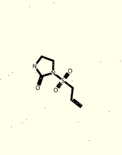 C=CCS(=O)(=O)N1CC[N]C1=O